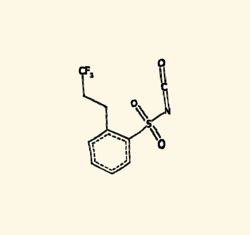 O=C=NS(=O)(=O)c1ccccc1CCC(F)(F)F